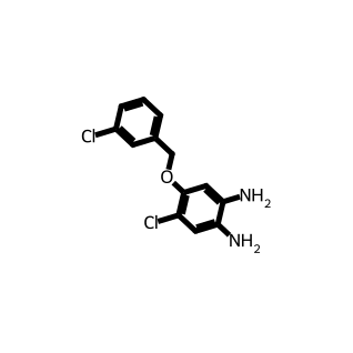 Nc1cc(Cl)c(OCc2cccc(Cl)c2)cc1N